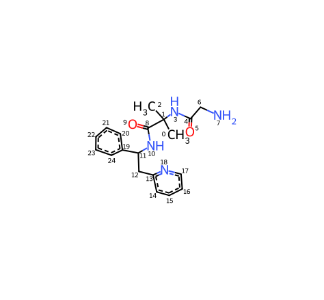 CC(C)(NC(=O)CN)C(=O)NC(Cc1ccccn1)c1ccccc1